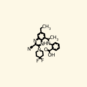 CCc1cc([C@@H](C)Nc2ccccc2C(=O)O)c2nc(N3CCC(F)(F)CC3)c(C#N)nc2c1